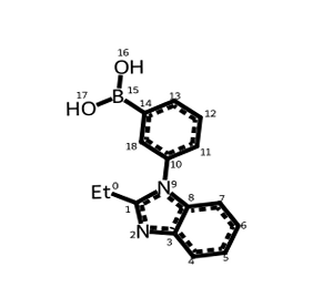 CCc1nc2ccccc2n1-c1cccc(B(O)O)c1